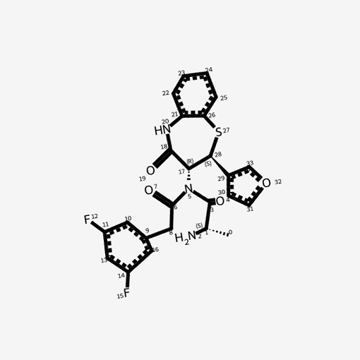 C[C@H](N)C(=O)N(C(=O)Cc1cc(F)cc(F)c1)[C@@H]1C(=O)Nc2ccccc2S[C@H]1c1ccoc1